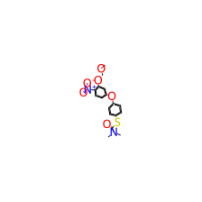 COCOc1cc(Oc2ccc(SC(=O)N(C)C)cc2)ccc1[N+](=O)[O-]